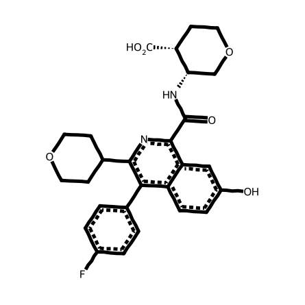 O=C(N[C@H]1COCC[C@H]1C(=O)O)c1nc(C2CCOCC2)c(-c2ccc(F)cc2)c2ccc(O)cc12